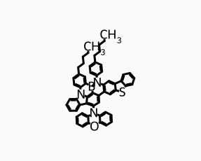 CCCCCc1ccc(N2B3c4cc(CCCCC)ccc4-n4c5ccccc5c5c(N6c7ccccc7Oc7ccccc76)cc(c3c54)-c3cc4sc5ccccc5c4cc32)cc1